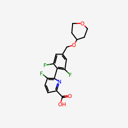 O=C(O)c1ccc(F)c(-c2c(F)cc(COC3CCOCC3)cc2F)n1